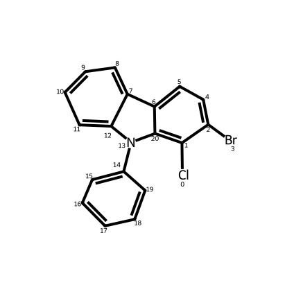 Clc1c(Br)ccc2c3ccccc3n(-c3ccccc3)c12